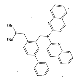 CC(C)(C)P(Cc1ccc(-c2ccccc2)cc1CP(c1ccc2ccccc2n1)c1ccc2ccccc2n1)C(C)(C)C